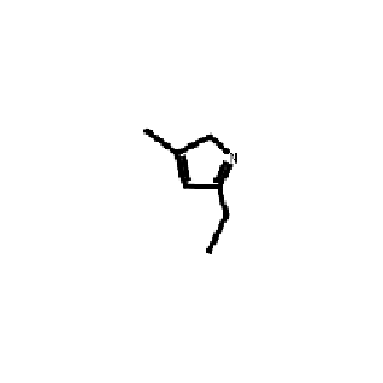 CCC1=NCC(C)=C1